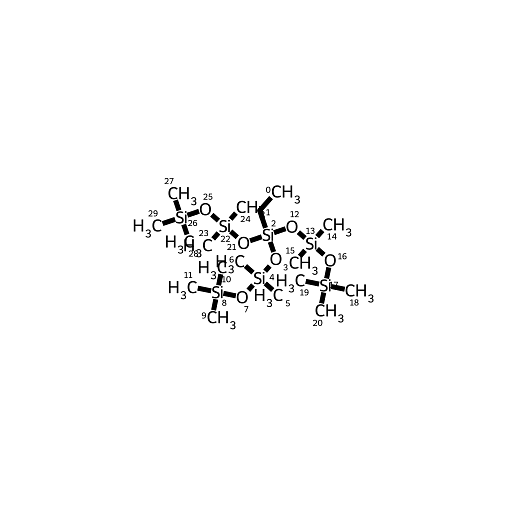 C[CH][Si](O[Si](C)(C)O[Si](C)(C)C)(O[Si](C)(C)O[Si](C)(C)C)O[Si](C)(C)O[Si](C)(C)C